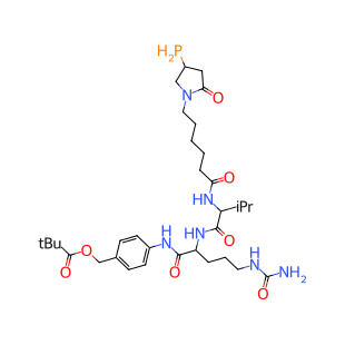 CC(C)C(NC(=O)CCCCCN1CC(P)CC1=O)C(=O)NC(CCCNC(N)=O)C(=O)Nc1ccc(COC(=O)C(C)(C)C)cc1